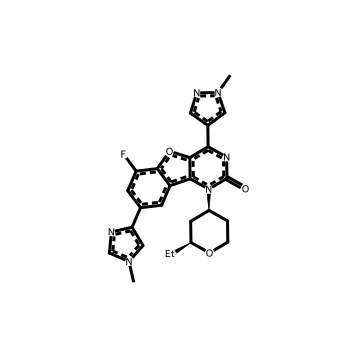 CC[C@H]1C[C@@H](n2c(=O)nc(-c3cnn(C)c3)c3oc4c(F)cc(-c5cn(C)cn5)cc4c32)CCO1